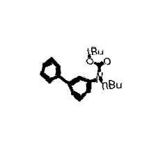 CCCCN(C(=O)OC(C)(C)C)c1cccc(-c2ccccc2)c1